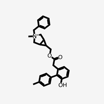 Cc1ccc(-c2c(O)cccc2CC(=O)OCC2C3C[N+](C)(Cc4ccccc4)CC23)cc1